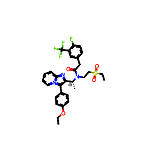 CCOc1ccc(-c2c([C@@H](C)N(CCS(=O)(=O)CC)C(=O)Cc3ccc(F)c(C(F)(F)F)c3)nc3ccccn23)cc1